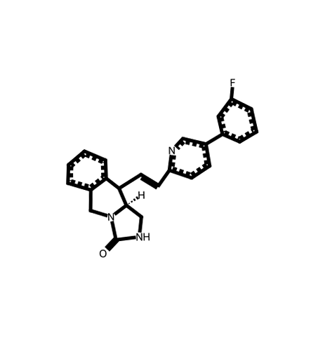 O=C1NC[C@@H]2C(/C=C/c3ccc(-c4cccc(F)c4)cn3)c3ccccc3CN12